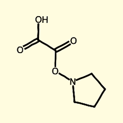 O=C(O)C(=O)ON1CCCC1